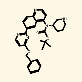 CC(C)(C)OC(=O)N(c1ccnc2ccc(-c3nccc(OCc4ccccc4)n3)cc12)[C@H]1CCCNC1